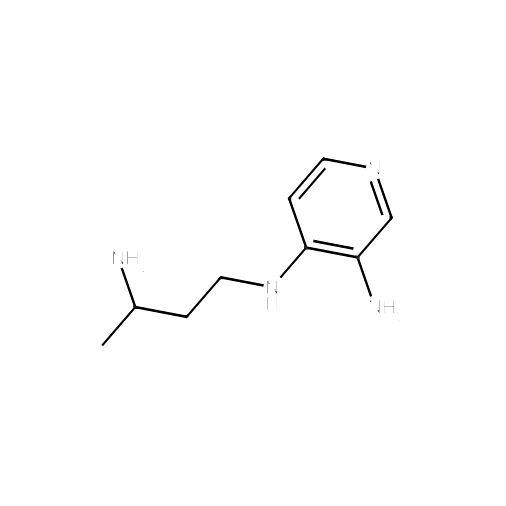 CC(N)CCNc1ccncc1N